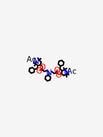 CC(=O)N1C(C)(C)CC(OC(=O)CCN(CCC(=O)OC2CC(C)(C)N(C(C)=O)C(C)(C)C2CC2CCCCC2)C2CCCCC2)C(CC2CCCCC2)C1(C)C